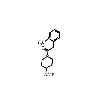 CNC1CCN(C(=O)Cc2ccccc2C(F)(F)F)CC1